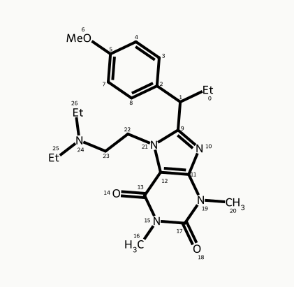 CCC(c1ccc(OC)cc1)c1nc2c(c(=O)n(C)c(=O)n2C)n1CCN(CC)CC